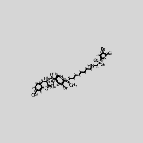 CN(CCCCCCCCNCS(=O)(=O)c1cc(Br)c(Cl)s1)c1ncc(S(=O)(=O)NC(Cc2ccc(Cl)cc2)C(=O)O)cc1Br